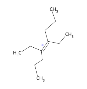 CCC/C(CC)=C(\CC)CCC